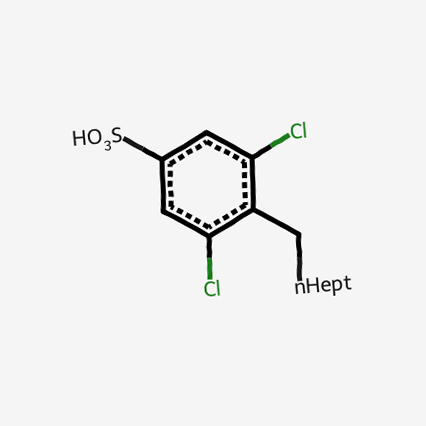 CCCCCCCCc1c(Cl)cc(S(=O)(=O)O)cc1Cl